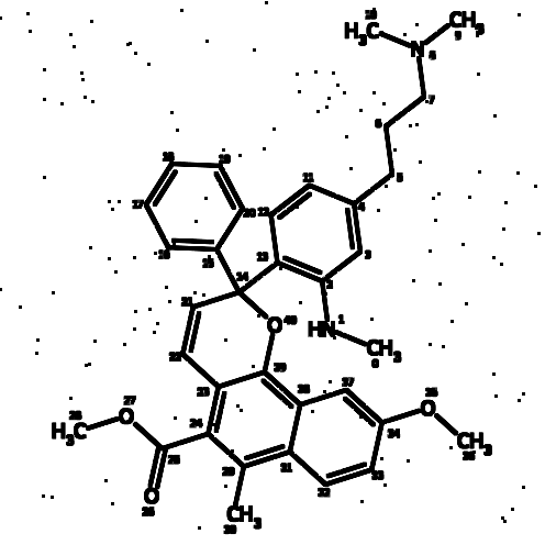 CNc1cc(CCCN(C)C)ccc1C1(c2ccccc2)C=Cc2c(C(=O)OC)c(C)c3ccc(OC)cc3c2O1